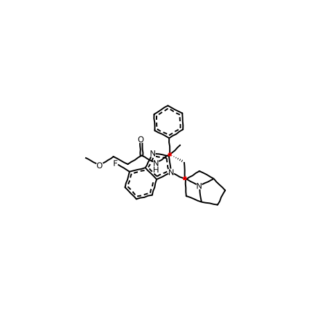 COCCC(=O)N[C@@H](CCN1C2CCC1CC(n1c(C)nc3c(F)cccc31)C2)c1ccccc1